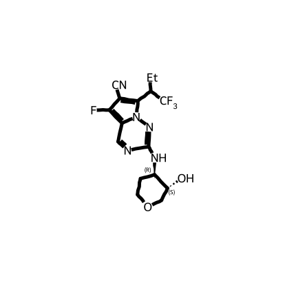 CCC(c1c(C#N)c(F)c2cnc(N[C@@H]3CCOC[C@H]3O)nn12)C(F)(F)F